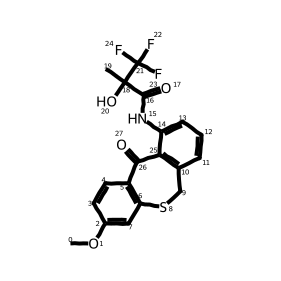 COc1ccc2c(c1)SCc1cccc(NC(=O)C(C)(O)C(F)(F)F)c1C2=O